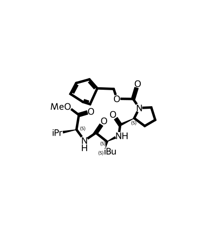 CC[C@H](C)[C@H](NC(=O)[C@@H]1CCCN1C(=O)OCc1ccccc1)C(=O)N[C@H](C(=O)OC)C(C)C